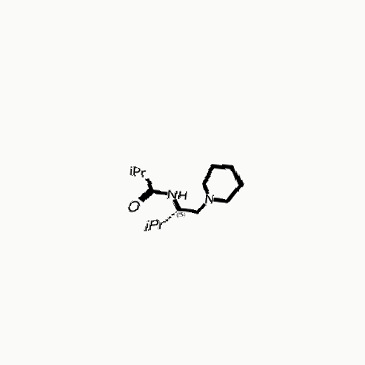 CC(C)C(=O)N[C@H](CN1CCCCC1)C(C)C